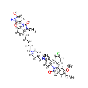 COc1cc2c(cc1OC(C)C)[C@H](c1ccc(Cl)cc1)N(c1ccc(N(C)CC3CCN(CCCCCCc4cccc5c4n(C)c(=O)n5C4CCC(=O)NC4=O)CC3)cc1)C(=O)C2